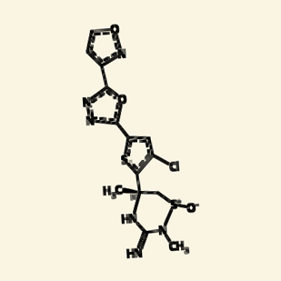 CN1C(=N)N[C@](C)(c2sc(-c3nnc(-c4ccon4)o3)cc2Cl)C[S+]1[O-]